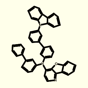 c1ccc(-c2cccc(N(c3cccc(-c4cccc(-n5c6ccccc6c6ccccc65)c4)c3)c3ccnc4c3oc3ccccc34)c2)cc1